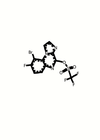 O=S(=O)(Oc1nc2ccc(F)c(Br)c2n2ccnc12)C(F)(F)F